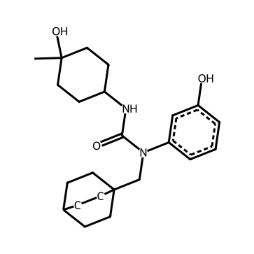 CC1(O)CCC(NC(=O)N(CC23CCC(CC2)CC3)c2cccc(O)c2)CC1